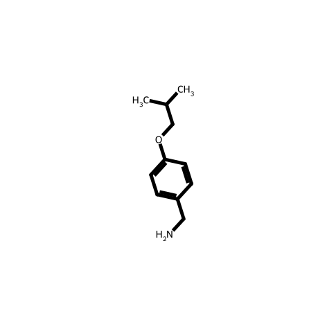 CC(C)COc1ccc(CN)cc1